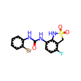 O=C(Nc1ccccc1Br)Nc1ccc(F)c2c1NS(=O)(=O)C2